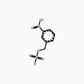 O=[N+](O)c1cccc(COS(=O)(=O)[O-])c1